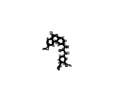 COc1ccc2c(=O)oc3ccc(NC(=O)Nc4ccc(C#N)c(OC)c4)cc3c2c1